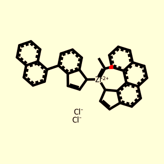 C[C](C)=[Zr+2]([CH]1C=Cc2c(-c3cccc4ccccc34)cccc21)[CH]1C=Cc2ccc3ccc4ccccc4c3c21.[Cl-].[Cl-]